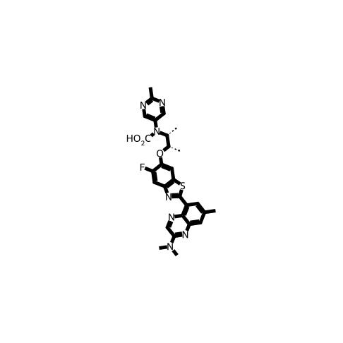 Cc1cc(-c2nc3cc(F)c(O[C@@H](C)[C@@H](C)N(C(=O)O)c4cnc(C)nc4)cc3s2)c2ncc(N(C)C)nc2c1